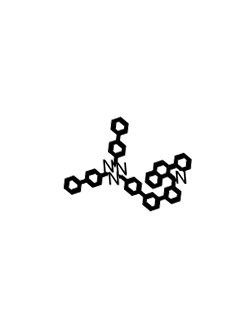 c1ccc(-c2ccc(-c3nc(-c4ccc(-c5ccccc5)cc4)nc(-c4ccc(-c5cccc(-c6cccc(-c7nc8ccccc8c8ccc9ccccc9c78)c6)c5)cc4)n3)cc2)cc1